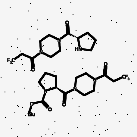 CC(C)(C)OC(=O)N1CCC[C@H]1C(=O)N1CCN(C(=O)CC(F)(F)F)CC1.O=C(CC(F)(F)F)N1CCN(C(=O)[C@@H]2CCCN2)CC1